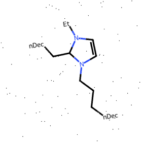 CCCCCCCCCCCCCN1C=CN(CC)C1CCCCCCCCCCC